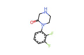 O=C1CNCCN1c1cccc(F)c1F